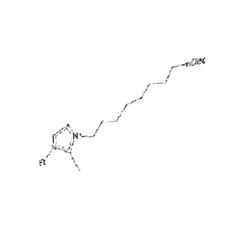 CCCCCCCCCCCCCCCCCC[n+]1ccn(CC)c1C